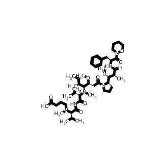 CC[C@H](C)[C@@H]([C@@H](CC(=O)N1CCC[C@H]1[C@H](OC)[C@@H](C)C(=O)N[C@@H](Cc1ccccc1)C(=O)N1CCCCO1)OC)N(C)[C@H](C(=O)NC(=O)[C@H](C(C)C)N(C)CCCC(=O)O)C(C)C